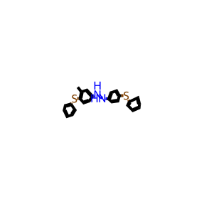 Cc1cc(NNc2ccc(Sc3ccccc3)cc2)ccc1Sc1ccccc1